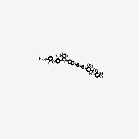 COc1cccc(Oc2ccc(-c3nn(C4CC5CN(C6CN(C7CN(c8ccc(C(=O)NC9CCC(=O)NC9=O)c9c8OCO9)C7)C6)CC5C4)c4ncnc(N)c34)cc2)c1F